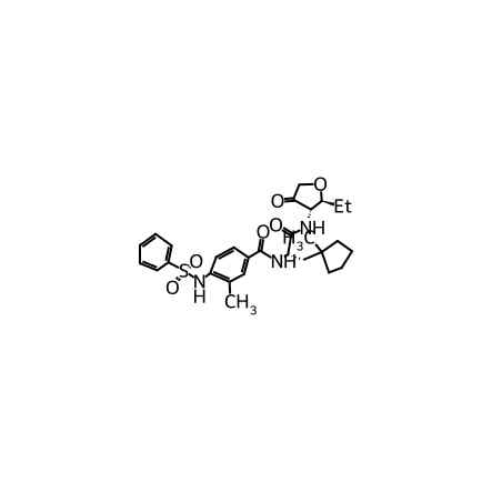 CC[C@@H]1OCC(=O)[C@H]1NC(=O)[C@H](CC1(C)CCCC1)NC(=O)c1ccc(NS(=O)(=O)c2ccccc2)c(C)c1